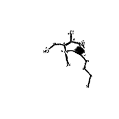 CCCCc1nc(Cl)c(CO)n1C